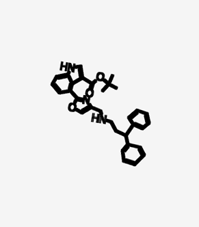 CC(C)(C)OC(=O)c1c[nH]c2cccc(-c3nc(CNCCC(c4ccccc4)c4ccccc4)co3)c12